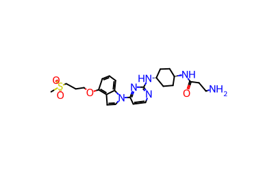 CS(=O)(=O)CCCOc1cccc2c1ccn2-c1ccnc(N[C@H]2CC[C@H](NC(=O)CCN)CC2)n1